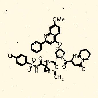 C=C[C@@H]1C[C@]1(NC(=O)[C@@H]1C[C@@H](Oc2cc(-c3ccccc3)nc3cc(OC)ccc23)CN1C(=O)C(CC(=O)N1CCCCC1)C(C)(C)C)C(=O)NS(=O)(=O)c1ccc(Cl)cc1